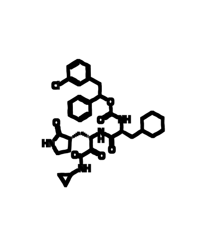 O=C(N[C@@H](CC1CCCCC1)C(=O)N[C@@H](C[C@@H]1CCNC1=O)C(=O)C(=O)NC1CC1)OC(Cc1cccc(Cl)c1)c1ccccc1